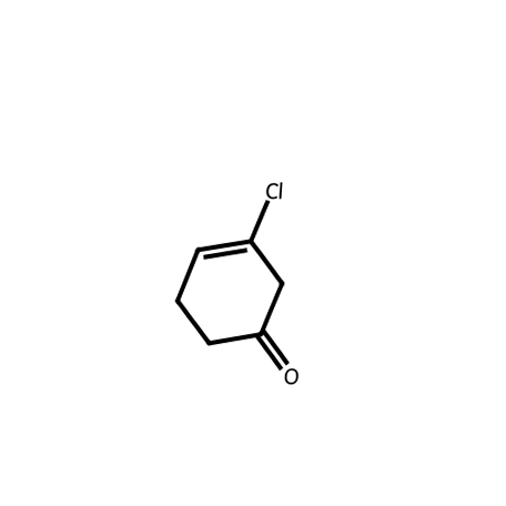 O=C1CCC=C(Cl)C1